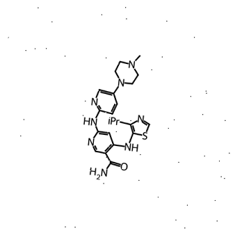 CC(C)c1ncsc1Nc1cc(Nc2ccc(N3CCN(C)CC3)cn2)ncc1C(N)=O